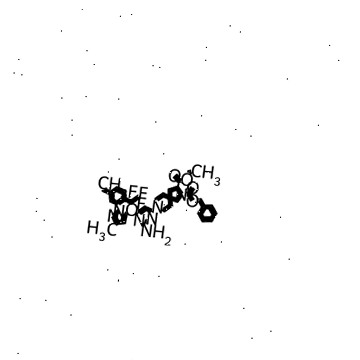 CCOC(=O)[C@@H]1CC2(CCN(c3cc(O[C@H](c4ccc(CC)cc4-n4ccc(C)n4)C(F)(F)F)nc(N)n3)CC2)CN1C(=O)OCc1ccccc1